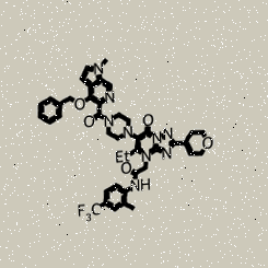 CCc1c(N2CCN(C(=O)c3ncc4c(ccn4C)c3OCc3ccccc3)CC2)c(=O)n2nc(C3=CCOCC3)nc2n1CC(=O)Nc1ccc(C(F)(F)F)cc1C